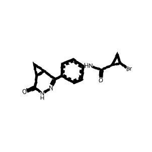 O=C(Nc1ccc(C2=NNC(=O)C3CC23)cc1)C1CC1Br